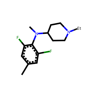 CCN1CCC(N(C)c2c(F)cc(C)cc2F)CC1